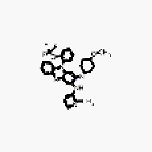 COC1CCC(/N=c2\cc3n(-c4ccccc4OC(F)(F)F)c4ccccc4nc-3cc2Nc2cccnc2C)CC1